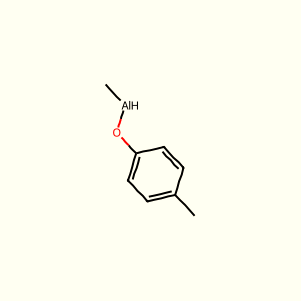 [CH3][AlH][O]c1ccc(C)cc1